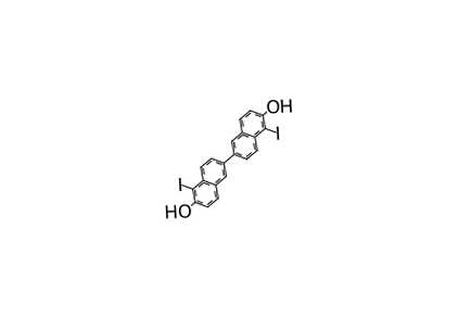 Oc1ccc2cc(-c3ccc4c(I)c(O)ccc4c3)ccc2c1I